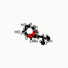 CCC(C)[C@@H]1NC(=O)[C@@H]2C[C@@H](O)CN2C(=O)[C@H](CC(=O)O)NC(=O)[C@@H]2C[S+]([O-])c3[nH]c4ccc(NC(=O)CCC(=O)N(CCN5C(=O)C=CC5=O)CCN5C(=O)C=CC5O)cc4c3C[C@H](NC1=O)C(=O)NCC(=O)NC[C@@H]([C@@H](C)CC)C(=O)NCC(=O)N2